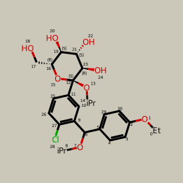 CCOc1ccc(C(OC(C)C)c2cc([C@]3(OC(C)C)O[C@H](CO)[C@@H](O)[C@H](O)[C@H]3O)ccc2Cl)cc1